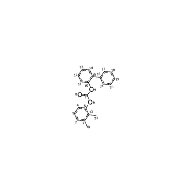 Cc1cccc(OC(=O)Oc2ccccc2-c2ccccc2)c1C